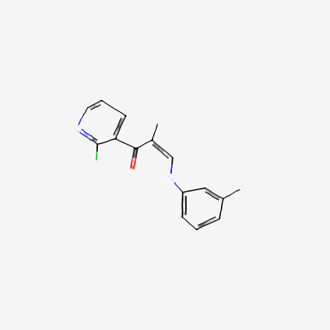 CCOC(=O)C(=CNc1cccc([N+](=O)[O-])c1)C(=O)c1cccnc1Cl